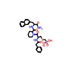 NC(=O)C(Cc1ccc2ccccc2c1)NC(=O)C1CCCCN1C(=O)C(CSCP(=O)(O)O)NC(=O)Cc1ccccc1